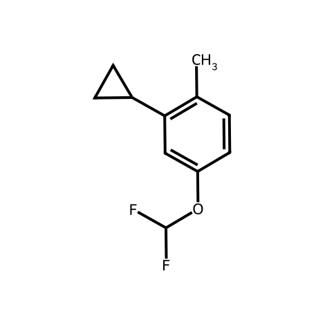 Cc1ccc(OC(F)F)cc1C1CC1